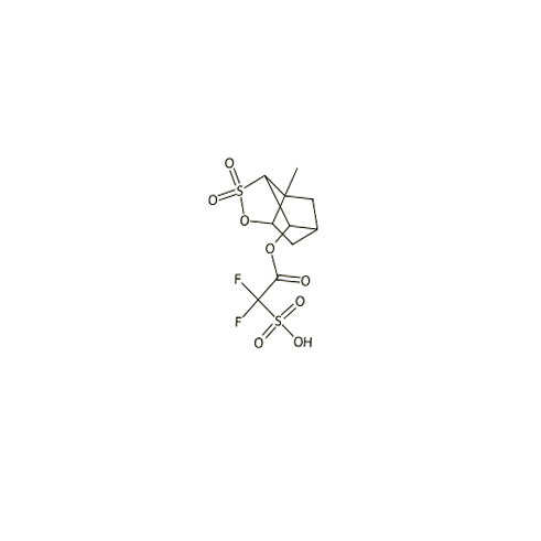 CC12CC3CC1OS(=O)(=O)C2C3OC(=O)C(F)(F)S(=O)(=O)O